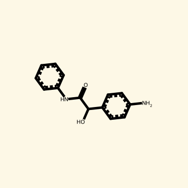 Nc1ccc(C(O)C(=O)Nc2ccccc2)cc1